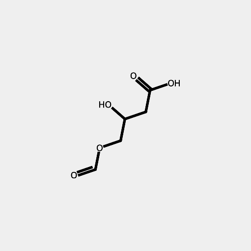 O=COCC(O)CC(=O)O